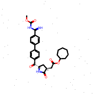 COC(=O)NC(=N)c1ccc(-c2ccc(C(=O)[C@@H]3C[C@@H](CC(=O)OC4CCCCCC4)C(=O)N3)cc2)cc1